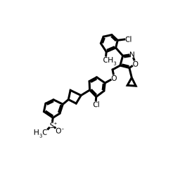 Cc1cccc(Cl)c1-c1noc(C2CC2)c1COc1ccc(C2CC(c3cccc([S+](C)[O-])c3)C2)c(Cl)c1